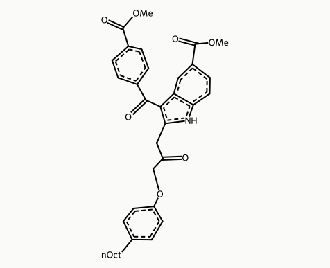 CCCCCCCCc1ccc(OCC(=O)Cc2[nH]c3ccc(C(=O)OC)cc3c2C(=O)c2ccc(C(=O)OC)cc2)cc1